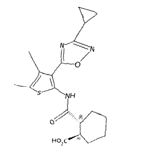 Cc1sc(NC(=O)[C@@H]2CCCC[C@H]2C(=O)O)c(-c2nc(C3CC3)no2)c1C